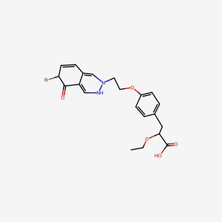 CCOC(Cc1ccc(OCCN2C=C3C=CC(Br)C(=O)C3=CN2)cc1)C(=O)O